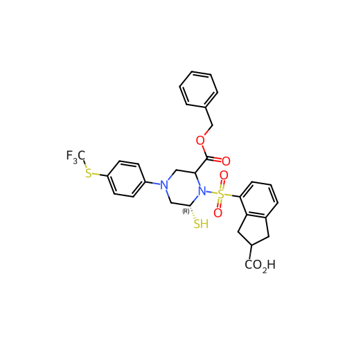 O=C(O)C1Cc2cccc(S(=O)(=O)N3C(C(=O)OCc4ccccc4)CN(c4ccc(SC(F)(F)F)cc4)C[C@H]3S)c2C1